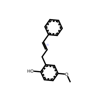 COc1ccc(O)c(C/C=C/c2ccccc2)c1